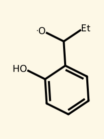 CCC([O])c1ccccc1O